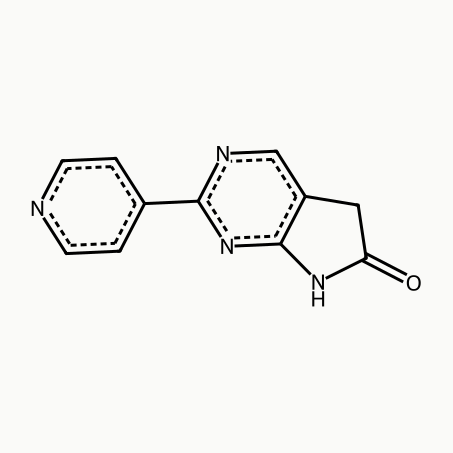 O=C1Cc2cnc(-c3ccncc3)nc2N1